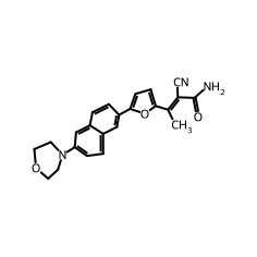 C/C(=C(/C#N)C(N)=O)c1ccc(-c2ccc3cc(N4CCOCC4)ccc3c2)o1